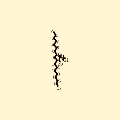 CCCCCCCCCCCCCCCCCC.CN(C)C